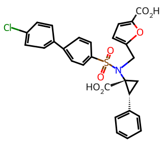 O=C(O)c1ccc(CN([C@]2(C(=O)O)C[C@@H]2c2ccccc2)S(=O)(=O)c2ccc(-c3ccc(Cl)cc3)cc2)o1